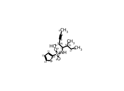 CC#C[C@@H](O)C(NS(=O)(=O)c1cccs1)[C@@H](C)CC